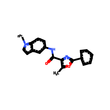 CCCn1ccc2cc(NC(=O)c3nc(-c4ccccc4)oc3C)ccc21